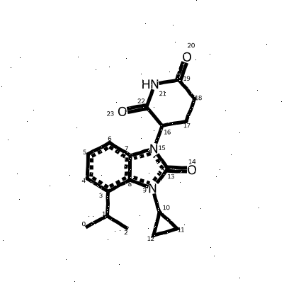 CC(C)c1cccc2c1n(C1CC1)c(=O)n2C1CCC(=O)NC1=O